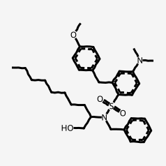 CCCCCCCCC(CO)N(Cc1ccccc1)S(=O)(=O)c1ccc(N(C)C)cc1Cc1ccc(OC)cc1